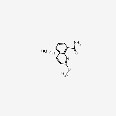 COc1ccc2nccc(C(N)=O)c2n1.Cl.Cl